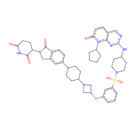 O=C1CCC(N2Cc3cc(N4CCC(N5CC(Oc6cccc(S(=O)(=O)N7CCC(Nc8ncc9ccc(=O)n(C%10CCCC%10)c9n8)CC7)c6)C5)CC4)ccc3C2=O)C(=O)N1